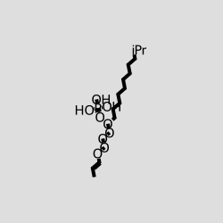 CC=COOOOOCCCCCCCCCC(C)C.O=P(O)(O)O